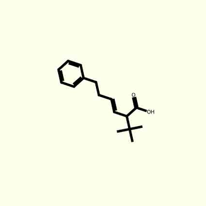 CC(C)(C)C(C=CCCc1ccccc1)C(=O)O